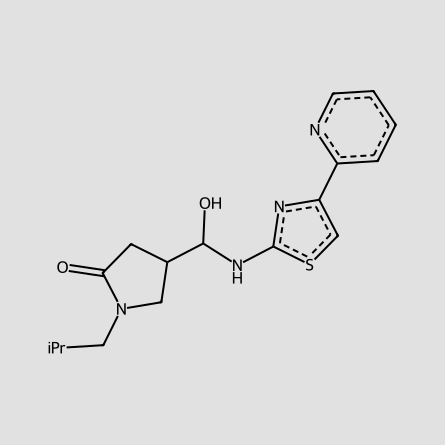 CC(C)CN1CC(C(O)Nc2nc(-c3ccccn3)cs2)CC1=O